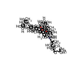 C=CC(C)(O)CCC1OCC1C(=O)O[C@@H]1C(C)O[C@@H](O[C@](C)(C=C)CC/C=C(\CO)C(=O)O[C@H]2C[C@@]3(C(=O)O[C@@H]4OC(CO)[C@@H](O)[C@H](O)C4O[C@@H]4OC(C)[C@H](O[C@@H]5O[C@@H](CO)[C@H](O)[C@@H]5O)C(O[C@@H]5OC(CO)[C@@H](O)[C@H](O)C5O)[C@@H]4O)C(CC2(C)C)C2=CCC4[C@@]5(C)CC[C@H](O[C@@H]6OC(CO[C@@H]7OC(C)[C@H](O)[C@H](O)C7O[C@@H]7OC[C@@H](O)[C@H](O)C7O)[C@@H](O)[C@H](O)C6NC(C)=O)C(C)(C)C5CC[C@@]4(C)[C@]2(C)C[C@H]3O)C(O)[C@H]1O